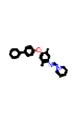 Cc1cc(Oc2ccc(C3CCCCC3)cc2)c(C)cc1/N=C/N1CCCCC1